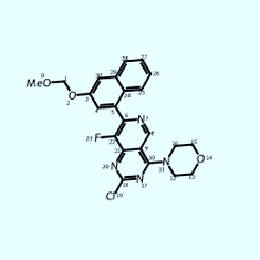 COCOc1cc(-c2ncc3c(N4CCOCC4)nc(Cl)nc3c2F)c2ccccc2c1